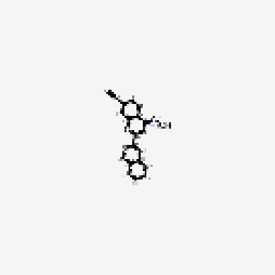 C#Cc1ccc2/c(=N/O)cc(-c3cc4ccccc4cn3)oc2c1